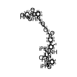 Cc1cc(Nc2ncc(Cl)c(Nc3ccccc3S(=O)(=O)C(C)C)n2)c(OC(C)C)cc1C1CCN(C(=O)CCOCCOCCNc2cccc3c2CN(C2CCC(=O)NC2=O)C3=O)CC1